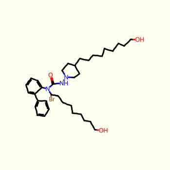 O=C(NN1CCC(CCCCCCCCCO)CC1)N(c1ccccc1-c1ccccc1)C(Br)CCCCCCCCO